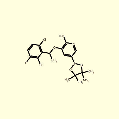 CC(Oc1cc(B2OC(C)(C)C(C)(C)O2)cnc1N)c1c(Cl)ccc(F)c1Cl